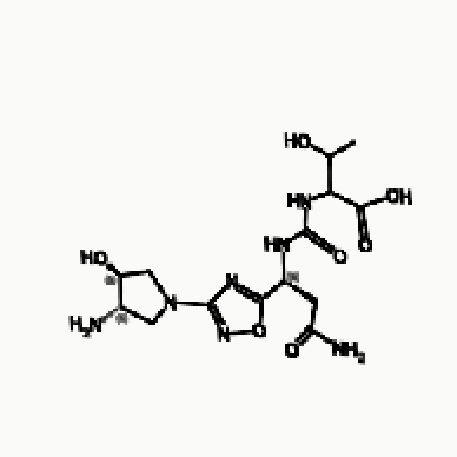 CC(O)C(NC(=O)N[C@@H](CC(N)=O)c1nc(N2C[C@H](N)[C@@H](O)C2)no1)C(=O)O